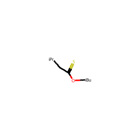 CCC(C)OC(=S)CC(C)C